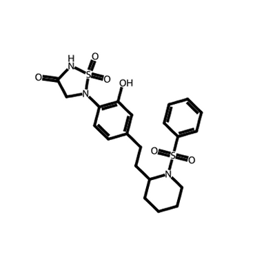 O=C1CN(c2ccc(CCC3CCCCN3S(=O)(=O)c3ccccc3)cc2O)S(=O)(=O)N1